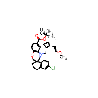 CO/C=C/[C@@H]1CC[C@H]1CN1C[C@@]2(CCCc3cc(Cl)ccc32)COc2ccc(C(=O)OC(C)(C)C)cc21